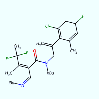 C=C(CN(CCCC)C(=O)C(/C=N\C(C)CC)=C(/C)C(C)(F)F)C1=C(Cl)CC(F)C=C1C